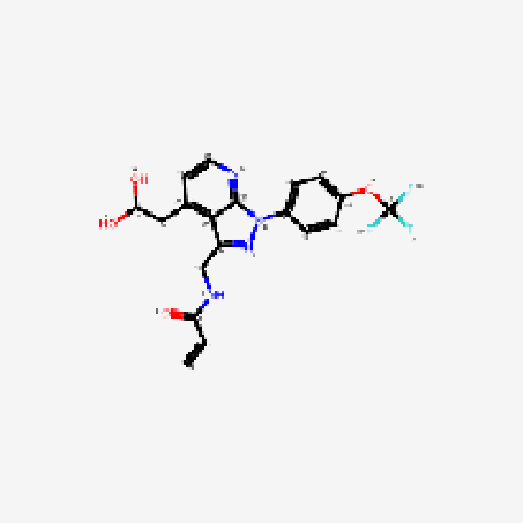 C=CC(=O)NCc1nn(-c2ccc(OC(F)(F)F)cc2)c2nccc(CC(O)O)c12